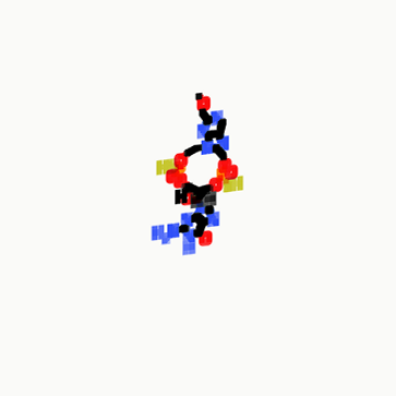 COCc1ncc2nc3n(c2n1)CCOP(=O)(S)O[C@H]1OC(n2cnc4c(=O)[nH]c(N)nc42)[C@H](OP(=O)(S)OC3)[C@@H]1F